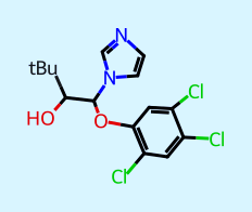 CC(C)(C)C(O)C(Oc1cc(Cl)c(Cl)cc1Cl)n1ccnc1